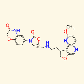 COc1ccc2ncc3c(c2n1)C(CCNC[C@@H]1CN(c2ccc4c(c2)NC(=O)CO4)C(=O)O1)CO3